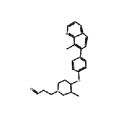 Cc1c(-c2ccc(OC3CCN(CCC=O)CC3C)cc2)ccc2cccnc12